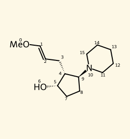 COC=CC[C@H]1[C@@H](O)CC[C@@H]1N1CCCCC1